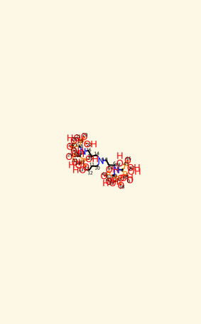 O=P(O)(O)C(N(CCCN(CCCO)CCCN(C(P(=O)(O)O)P(=O)(O)O)C(P(=O)(O)O)P(=O)(O)O)C(P(=O)(O)O)P(=O)(O)O)P(=O)(O)O